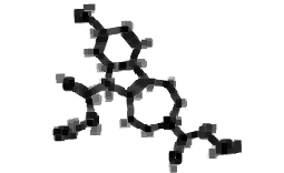 CC(C)(C)OC(=O)N1CCc2c(n(C(=O)OC(C)(C)C)c3cc(Br)ccc23)CC1